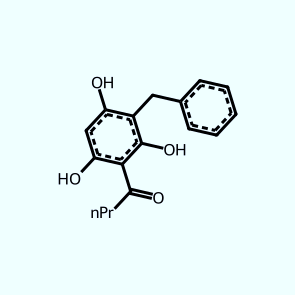 CCCC(=O)c1c(O)cc(O)c(Cc2ccccc2)c1O